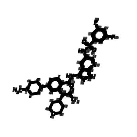 CN1CCN(c2ccc(C(=O)Nc3n[nH]c4ncc(NS(=O)(=O)c5cc(F)cc(F)c5)cc34)c(N(C(=O)C(F)(F)F)C3CCOCC3)c2)CC1